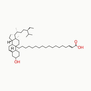 CC[C@H](CC[C@@H](C)[C@H]1CC[C@H]2[C@@H]3CC=C4CC(O)CC[C@]4(C)C3(CCCCCCCCCCCCCCCC=CC(=O)O)CC[C@]12C)C(C)C